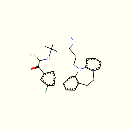 CC(NC(C)(C)C)C(=O)c1cccc(Cl)c1.CNCCCN1c2ccccc2CCc2ccccc21